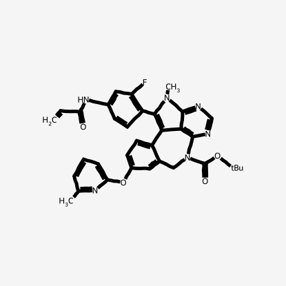 C=CC(=O)Nc1ccc(-c2c3c4c(ncnc4n2C)N(C(=O)OC(C)(C)C)Cc2cc(Oc4cccc(C)n4)ccc2-3)c(F)c1